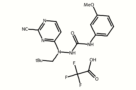 COc1cccc(NC(=O)NN(CC(C)(C)C)c2ccnc(C#N)n2)c1.O=C(O)C(F)(F)F